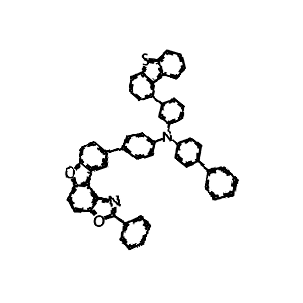 c1ccc(-c2ccc(N(c3ccc(-c4ccc5oc6ccc7oc(-c8ccccc8)nc7c6c5c4)cc3)c3cccc(-c4cccc5sc6ccccc6c45)c3)cc2)cc1